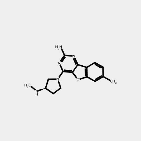 CN[C@@H]1CCN(c2nc(N)nc3c2oc2cc(C)ccc23)C1